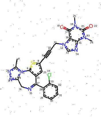 Cc1nnc2n1-c1sc(C#CCn3cnc4c3c(=O)n(C)c(=O)n4C)cc1C(c1ccccc1Cl)=NC2